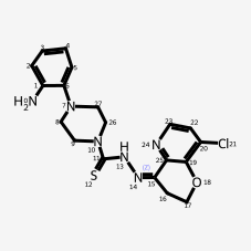 Nc1ccccc1N1CCN(C(=S)N/N=C2/CCOc3c(Cl)ccnc32)CC1